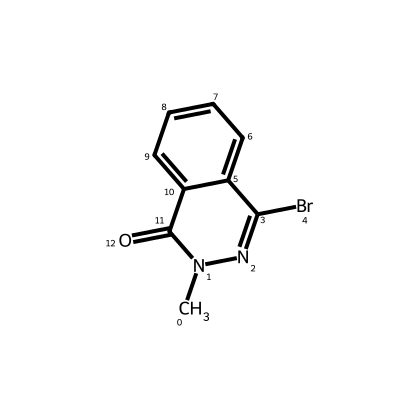 Cn1nc(Br)c2ccccc2c1=O